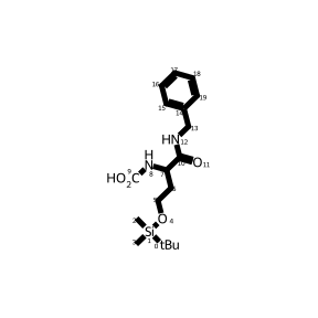 CC(C)(C)[Si](C)(C)OCCC(NC(=O)O)C(=O)NCc1ccccc1